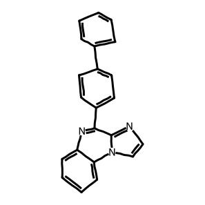 c1ccc(-c2ccc(-c3nc4ccccc4n4ccnc34)cc2)cc1